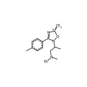 [CH]c1ccc(C2=N[C@@H](C(F)(F)F)ON2C(C)CN(C)CC)cc1